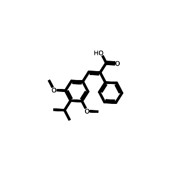 COc1cc(/C=C(/C(=O)O)c2ccccc2)cc(OC)c1C(C)C